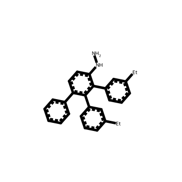 CCc1cccc(-c2c(NN)ccc(-c3ccccc3)c2-c2cccc(CC)c2)c1